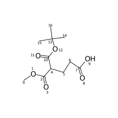 COC(=O)C(CCC(=O)O)C(=O)OC(C)(C)C